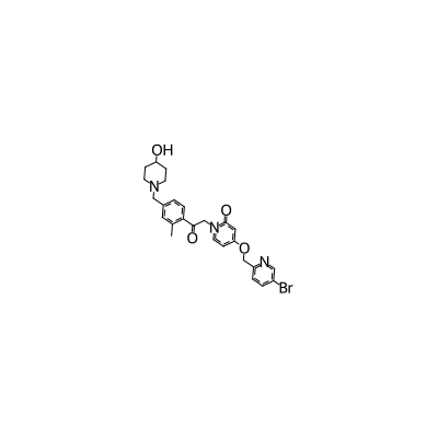 Cc1cc(CN2CCC(O)CC2)ccc1C(=O)Cn1ccc(OCc2ccc(Br)cn2)cc1=O